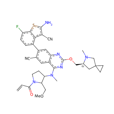 C=CC(=O)N1CCC(N(C)c2nc(OC[C@@H]3CC4(CC4)CN3C)nc3cc(-c4ccc(F)c5sc(N)c(C#N)c45)c(C#N)cc23)C1COC